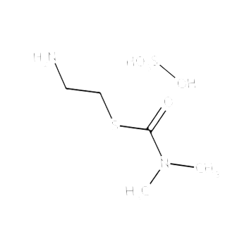 CN(C)C(=O)SCCN.O=S(=O)(O)O